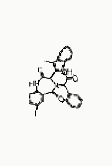 Cc1c(C2C(=O)Nc3ccc(I)cc3C(=O)N2C(C(=O)O)c2ccccc2)sc2ccccc12